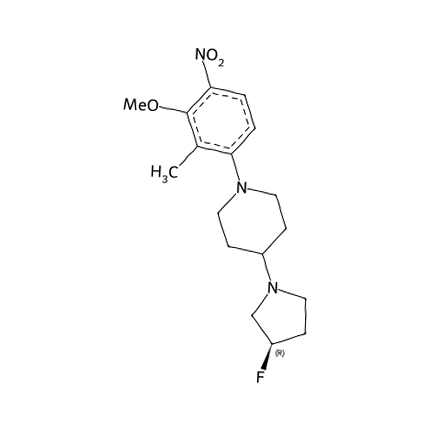 COc1c([N+](=O)[O-])ccc(N2CCC(N3CC[C@@H](F)C3)CC2)c1C